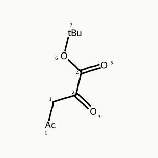 CC(=O)CC(=O)C(=O)OC(C)(C)C